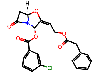 O=C(Cc1ccccc1)OC/C=C1/O[C@@H]2CC(=O)N2[C@H]1OC(=O)c1cccc(Cl)c1